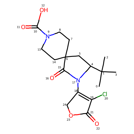 CC(C)(C)C1CC2(CCN(C(=O)O)CC2)C(=O)N1C1=C(Cl)C(=O)OC1